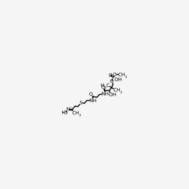 COP(=O)(O)OCC(C)(C)C(O)C(=O)NCCC(=O)NCCSCC/C(C)=N/OI